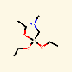 CCO[Si](CNC)(OCC)OCC